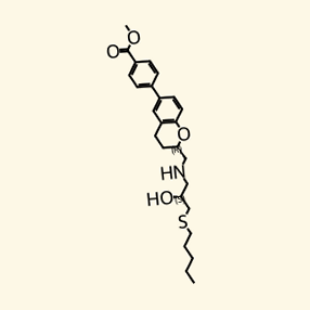 CCCCCSC[C@@H](O)CNC[C@H]1CCc2cc(-c3ccc(C(=O)OC)cc3)ccc2O1